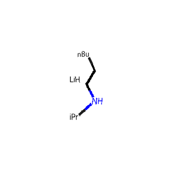 CCCCCCNC(C)C.[LiH]